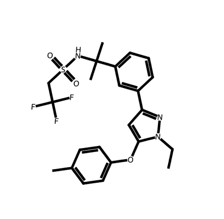 CCn1nc(-c2cccc(C(C)(C)NS(=O)(=O)CC(F)(F)F)c2)cc1Oc1ccc(C)cc1